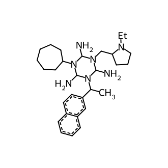 CCN1CCCC1CN1C(N)N(C2CCCCCC2)C(N)N(C(C)c2ccc3ccccc3c2)C1N